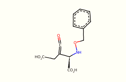 O=C=C(CC(=O)O)[C@@H](NOCc1ccccc1)C(=O)O